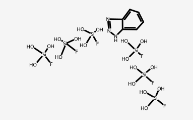 O[Si](O)(O)F.O[Si](O)(O)F.O[Si](O)(O)F.O[Si](O)(O)F.O[Si](O)(O)F.O[Si](O)(O)F.c1ccc2[nH]nnc2c1